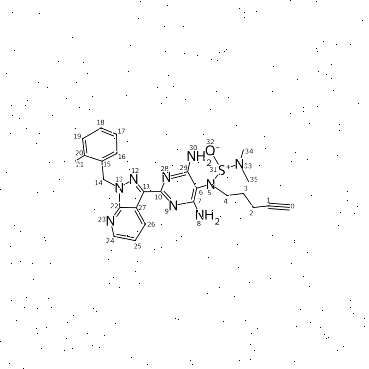 C#CCCCN(c1c(N)nc(-c2nn(Cc3ccccc3C)c3ncccc23)nc1N)[S+]([O-])N(C)C